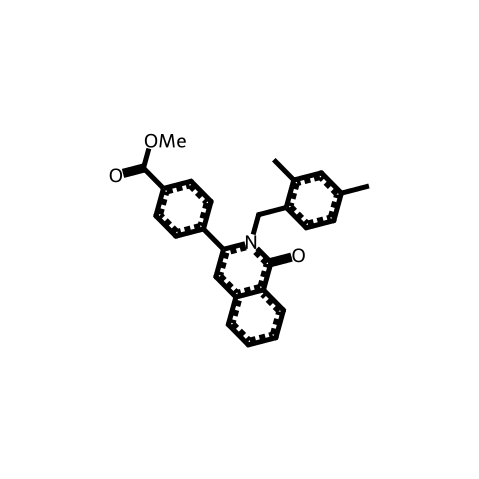 COC(=O)c1ccc(-c2cc3ccccc3c(=O)n2Cc2ccc(C)cc2C)cc1